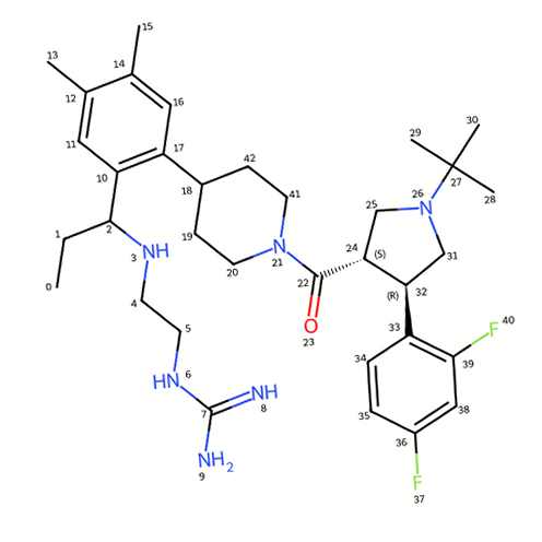 CCC(NCCNC(=N)N)c1cc(C)c(C)cc1C1CCN(C(=O)[C@@H]2CN(C(C)(C)C)C[C@H]2c2ccc(F)cc2F)CC1